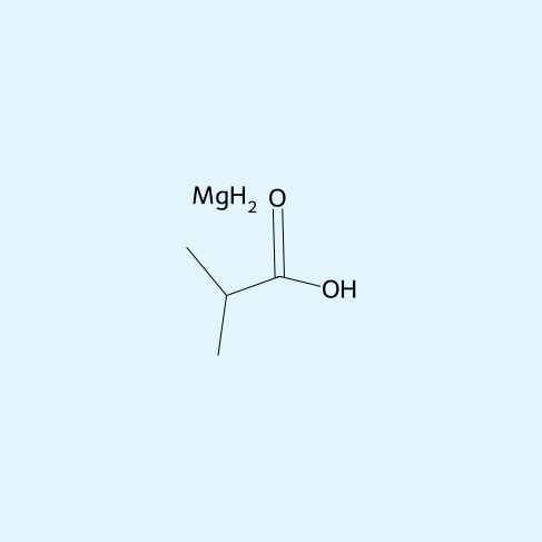 CC(C)C(=O)O.[MgH2]